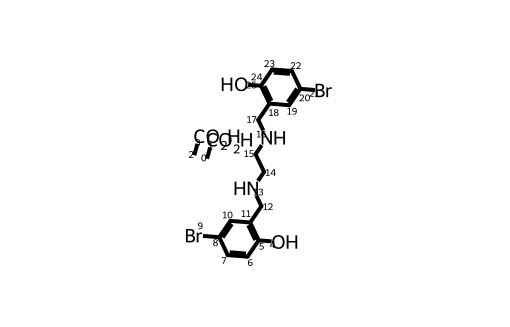 CC(=O)O.CC(=O)O.Oc1ccc(Br)cc1CNCCNCc1cc(Br)ccc1O